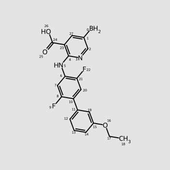 Bc1cnc(Nc2cc(F)c(-c3cccc(OCC)c3)cc2F)c(C(=O)O)c1